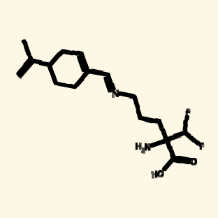 C=C(C)C1CC=C(/C=N/CCCC(N)(C(=O)O)C(F)F)CC1